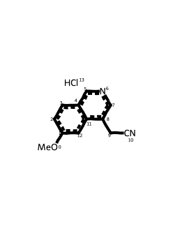 COc1ccc2cncc(CC#N)c2c1.Cl